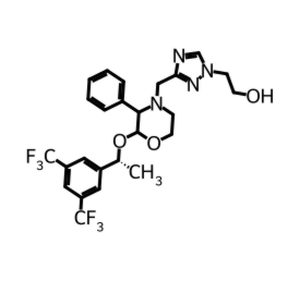 C[C@@H](OC1OCCN(Cc2ncn(CCO)n2)C1c1ccccc1)c1cc(C(F)(F)F)cc(C(F)(F)F)c1